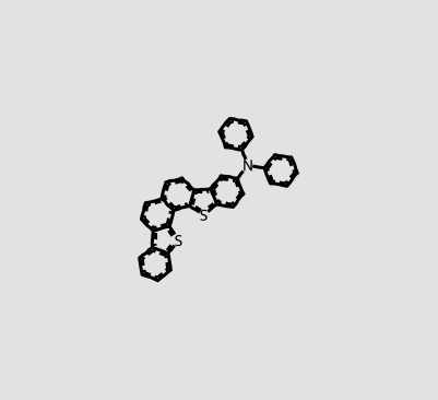 c1ccc(N(c2ccccc2)c2ccc3sc4c(ccc5ccc6c7ccccc7sc6c54)c3c2)cc1